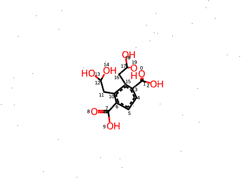 O=C(O)c1ccc(C(=O)O)c(CC(O)O)c1CC(O)O